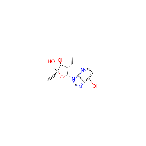 C#C[C@]1(CO)O[C@@H](n2cnc3c(O)ccnc32)[C@@H](C=C)[C@@H]1O